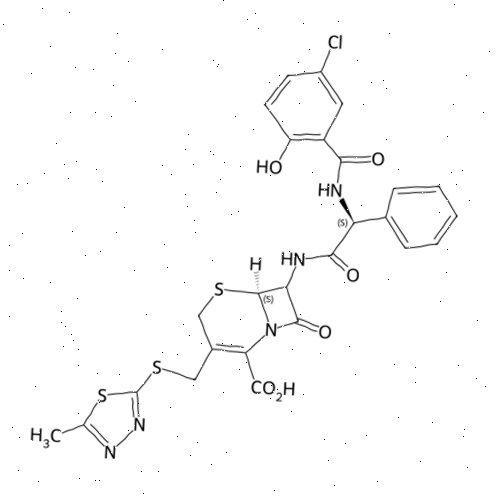 Cc1nnc(SCC2=C(C(=O)O)N3C(=O)C(NC(=O)[C@@H](NC(=O)c4cc(Cl)ccc4O)c4ccccc4)[C@@H]3SC2)s1